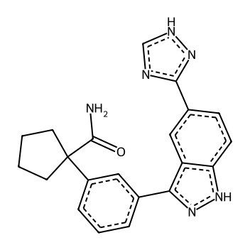 NC(=O)C1(c2cccc(-c3n[nH]c4ccc(-c5nc[nH]n5)cc34)c2)CCCC1